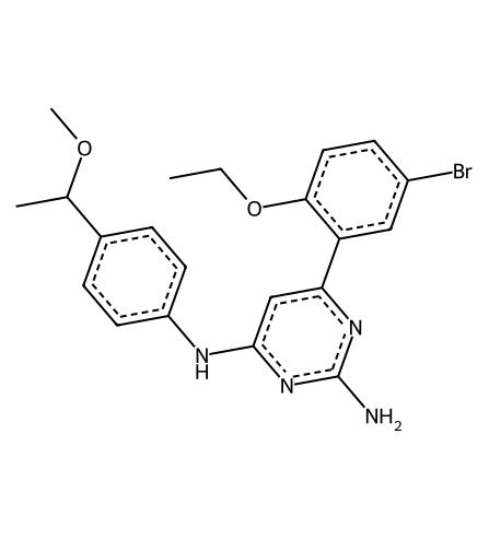 CCOc1ccc(Br)cc1-c1cc(Nc2ccc(C(C)OC)cc2)nc(N)n1